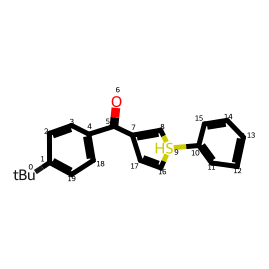 CC(C)(C)c1ccc(C(=O)C2=C[SH](c3cc[c]cc3)C=C2)cc1